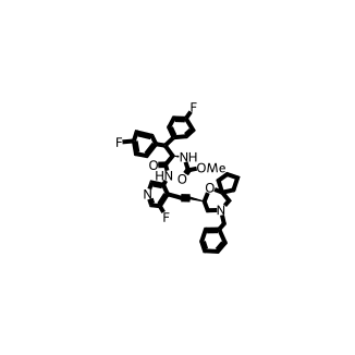 COC(=O)N[C@H](C(=O)Nc1cncc(F)c1C#C[C@@H]1CN(Cc2ccccc2)CC2(CCCC2)O1)C(c1ccc(F)cc1)c1ccc(F)cc1